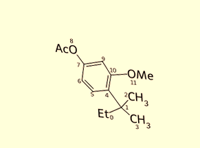 CCC(C)(C)c1ccc(OC(C)=O)cc1OC